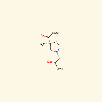 COC(=O)CN1CCC(C)(C(=O)OC)C1